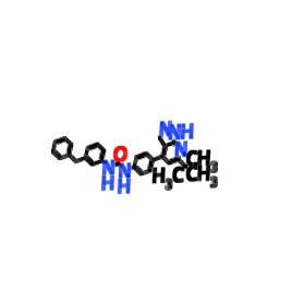 CC(C)(C)c1cc(-c2ccc(NC(=O)Nc3cccc(Cc4ccccc4)c3)cc2)c2cn[nH]c2n1